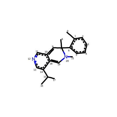 Cc1ccccc1C1(C)C=c2cncc(C(C)C)c2=CN1C